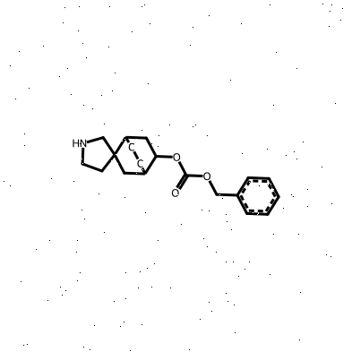 O=C(OCc1ccccc1)OC1CC2CCC1CC21CCNC1